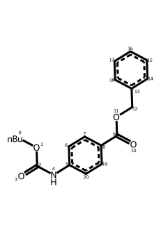 CCCCOC(=O)Nc1ccc(C(=O)OCc2ccccc2)cc1